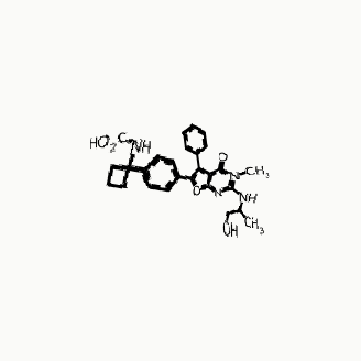 CC(CO)Nc1nc2oc(-c3ccc(C4(NC(=O)O)CCC4)cc3)c(-c3ccccc3)c2c(=O)n1C